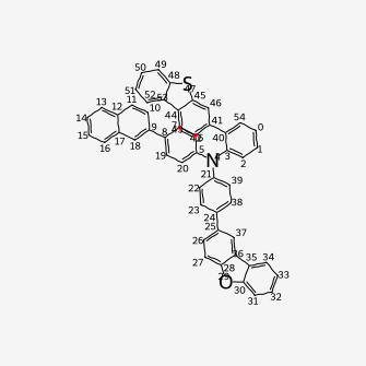 c1ccc(N(c2ccc(-c3ccc4ccccc4c3)cc2)c2ccc(-c3ccc4oc5ccccc5c4c3)cc2)c(-c2ccc3c(c2)sc2ccccc23)c1